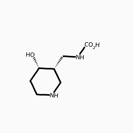 O=C(O)NC[C@@H]1CNCC[C@@H]1O